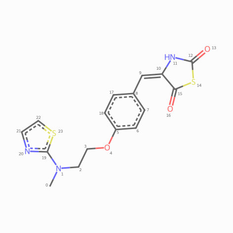 CN(CCOc1ccc(C=C2NC(=O)SC2=O)cc1)c1nccs1